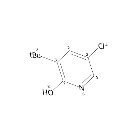 CC(C)(C)c1cc(Cl)cnc1O